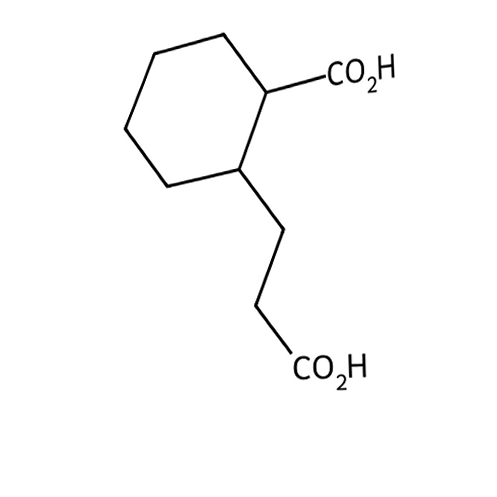 O=C(O)CCC1CCCCC1C(=O)O